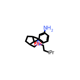 CC(C)CCN1CC2CCC(C1)C2(O)c1cccc(N)c1